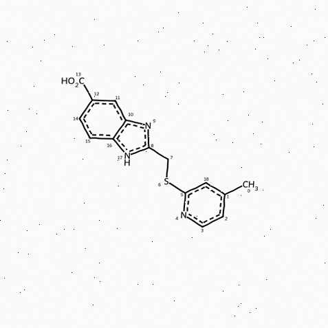 Cc1ccnc(SCc2nc3cc(C(=O)O)ccc3[nH]2)c1